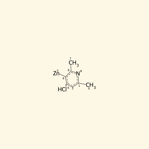 Cc1cc[c]([Zn])c(C)n1.Cl